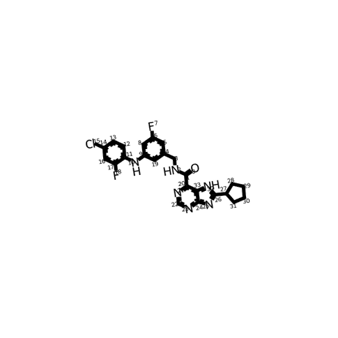 O=C(NCc1cc(F)cc(Nc2ccc(Cl)cc2F)c1)c1ncnc2nc(C3CCCC3)[nH]c12